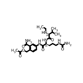 CCN[C@@H](C(=O)N[C@@H](CCCNC(N)=O)C(=O)Nc1ccc(COC(C)=O)c(C(N)=O)c1)C(C)C